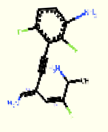 CC(N)/C(F)=C\C(C#Cc1c(F)ccc(N)c1F)=C/N